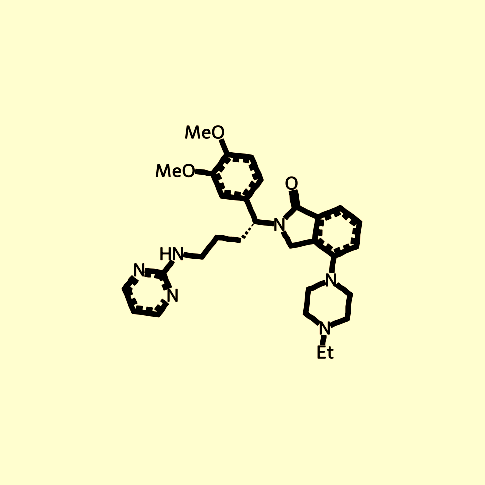 CCN1CCN(c2cccc3c2CN([C@H](CCCNc2ncccn2)c2ccc(OC)c(OC)c2)C3=O)CC1